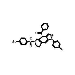 CC(C)(C)c1ccc(S(=O)(=O)N2CCC3=C(C2)[C@@H](C(=O)c2ccccc2)C2=CNN(c4ccc(F)cc4)C2=C3)cc1